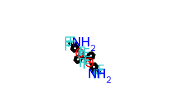 Nc1cc(Oc2ccccc2C(c2ccccc2Oc2ccc(C(F)(F)F)c(N)c2)(C(F)(F)F)C(F)(F)F)ccc1C(F)(F)F